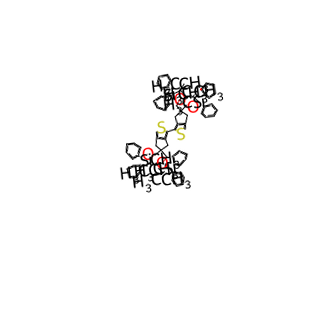 CC(C)(C)[Si](OCC1(CO[Si](c2ccccc2)(c2ccccc2)C(C)(C)C)Cc2csc(-c3scc4c3CC(CO[Si](c3ccccc3)(c3ccccc3)C(C)(C)C)(CO[Si](c3ccccc3)(c3ccccc3)C(C)(C)C)C4)c2C1)(c1ccccc1)c1ccccc1